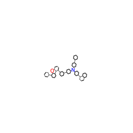 C1=CCC(c2cccc3c2OC2C=CC=C(c4cccc(-c5ccc(N(c6ccc(-c7ccccc7)cc6)c6ccc(C7CC=Cc8ccccc87)cc6)cc5)c4)C32)C=C1